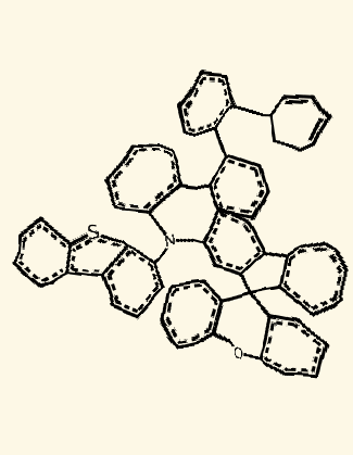 C1=CCC(c2ccccc2-c2ccccc2-c2ccccc2N(c2ccc3c(c2)C2(c4ccccc4Oc4ccccc42)c2ccccc2-3)c2cccc3c2sc2ccccc23)C=C1